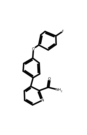 NC(=O)c1ncccc1-c1ccc(Oc2ccc(F)cc2)cc1